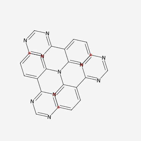 c1ccc(N(c2ccccc2-c2ncncn2)c2ccccc2-c2ncncn2)c(-c2ncncn2)c1